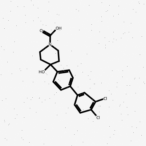 O=C(O)N1CCC(O)(c2ccc(-c3ccc(Cl)c(Cl)c3)cc2)CC1